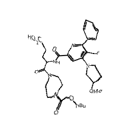 CCCCOC(=O)N1CCN(C(=O)C(CCC(=O)O)NC(=O)c2cc(N3CCC(OC)C3)c(F)c(-c3ccccc3)n2)CC1